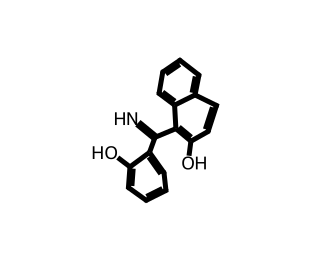 N=C(c1ccccc1O)c1c(O)ccc2ccccc12